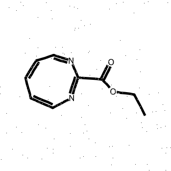 CCOC(=O)C1=NC=CC=CC=N1